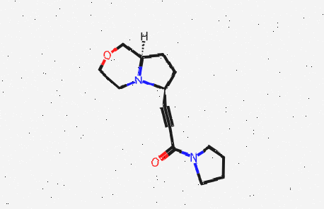 O=C(C#C[C@@H]1CC[C@@H]2COCCN21)N1CCCC1